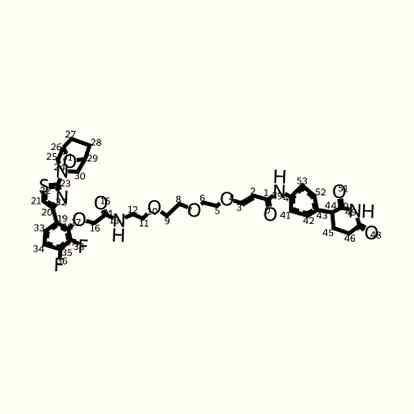 O=C(C=COCCOCCOCCNC(=O)COc1c(-c2csc(N3CC4CCC(C3)O4)n2)ccc(F)c1F)Nc1ccc(C2CCC(=O)NC2=O)cc1